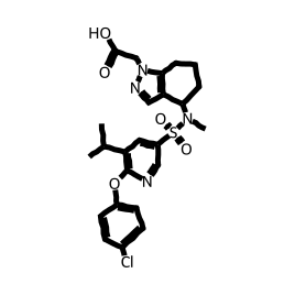 CC(C)c1cc(S(=O)(=O)N(C)C2CCCc3c2cnn3CC(=O)O)cnc1Oc1ccc(Cl)cc1